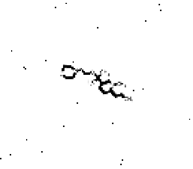 C=C/C=C1/C=CC(C(C)(C)OCCN2CCOCC2)=CN1C